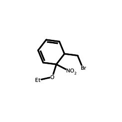 CCOC1([N+](=O)[O-])C=CC=CC1CBr